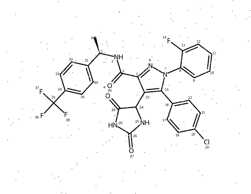 C[C@@H](NC(=O)c1nn(-c2ccccc2F)c(-c2ccc(Cl)cc2)c1C1NC(=O)NC1=O)c1ccc(C(F)(F)F)cc1